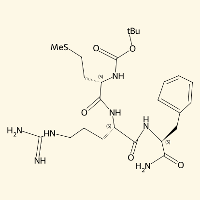 CSCC[C@H](NC(=O)OC(C)(C)C)C(=O)N[C@@H](CCCNC(=N)N)C(=O)N[C@@H](Cc1ccccc1)C(N)=O